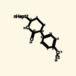 CCCCCCCC1CCC(c2ccc(OCC)cc2)C(=O)O1